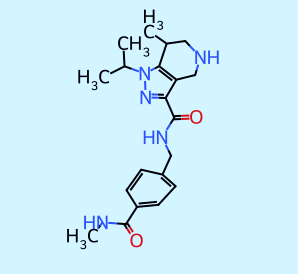 CNC(=O)c1ccc(CNC(=O)c2nn(C(C)C)c3c2CNCC3C)cc1